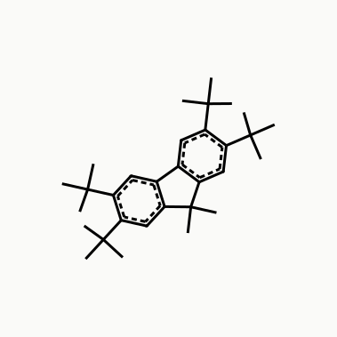 CC(C)(C)c1cc2c(cc1C(C)(C)C)C(C)(C)c1cc(C(C)(C)C)c(C(C)(C)C)cc1-2